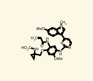 C=CC(=O)Nc1cc(Nc2nccc(-c3cn(C)c4cc(OC)ccc34)n2)c(OC)cc1OCC1(NC(=O)O)CC1